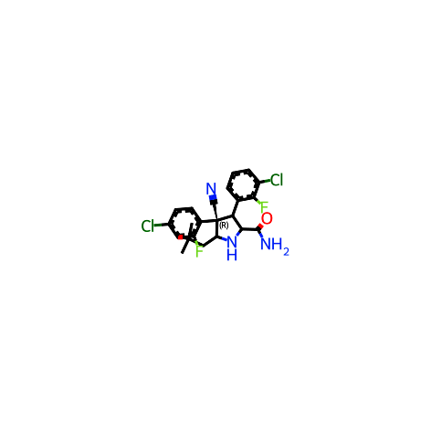 CC(C)(C)CC1NC(C(N)=O)C(c2cccc(Cl)c2F)[C@@]1(C#N)c1ccc(Cl)cc1F